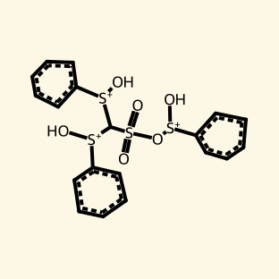 O=S(=O)(O[S+](O)c1ccccc1)C([S+](O)c1ccccc1)[S+](O)c1ccccc1